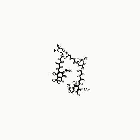 CCN(CC)CC(COCCCCOCC(CN(CC)CC)OC(=O)CC/C(C)=C/Cc1c(O)c2c(c(C)c1OC)COC2=O)OC(=O)CC/C(C)=C/Cc1c(O)c2c(c(C)c1OC)COC2=O